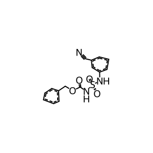 N#Cc1cccc(NS(=O)(=O)NC(=O)OCc2ccccc2)c1